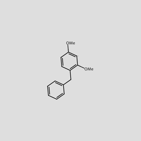 COc1[c]c(OC)c(Cc2ccccc2)cc1